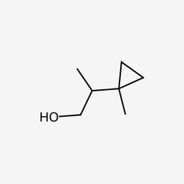 CC(CO)C1(C)CC1